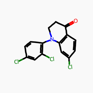 O=C1CCN(c2ccc(Cl)cc2Cl)c2cc(Cl)ccc21